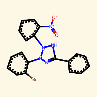 O=[N+]([O-])c1ccccc1N1NC(c2ccccc2)=NN1c1ccccc1Br